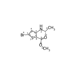 CCNc1cc(Br)sc1C(=O)OC